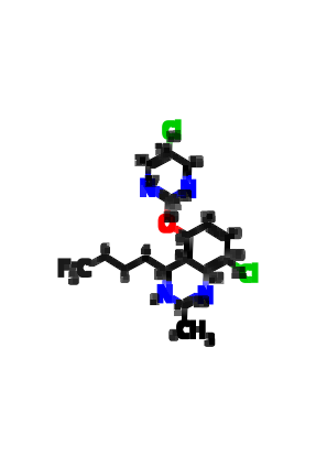 Cc1nc(CCCC(F)(F)F)c2c(Oc3ncc(Cl)cn3)ccc(Cl)c2n1